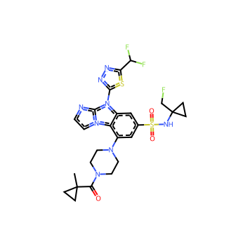 CC1(C(=O)N2CCN(c3cc(S(=O)(=O)NC4(CF)CC4)cc4c3n3ccnc3n4-c3nnc(C(F)F)s3)CC2)CC1